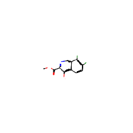 COC(=O)c1ncc2c(Cl)c(Br)ccc2c1O